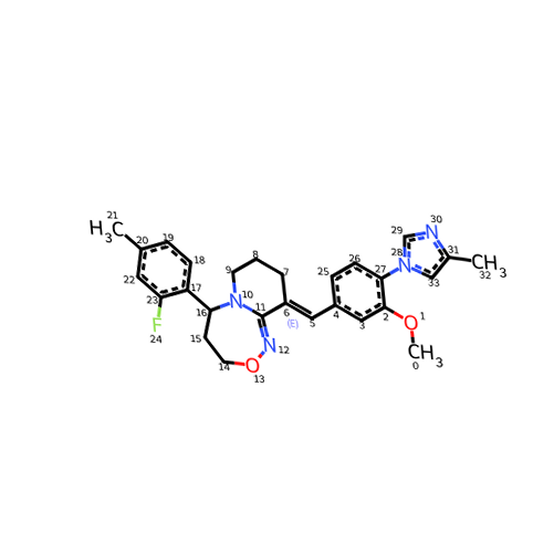 COc1cc(/C=C2\CCCN3C2=NOCCC3c2ccc(C)cc2F)ccc1-n1cnc(C)c1